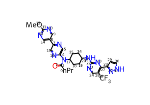 CCCC(=O)N(c1cnc(-c2cnc(OC)nc2)cn1)C1CCC(Nc2ncc(C(F)(F)F)c(-c3cc[nH]n3)n2)CC1